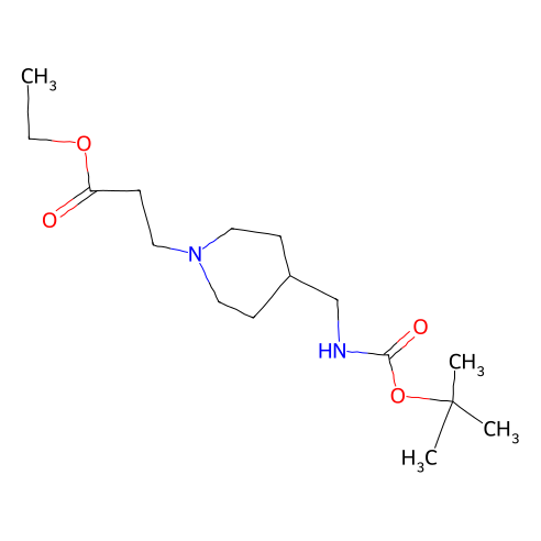 CCOC(=O)CCN1CCC(CNC(=O)OC(C)(C)C)CC1